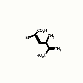 C=C(C(=O)O)C(C)C=C(CC)C(=O)O